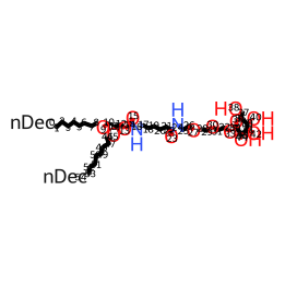 CCCCCCCCCCCCCCCCCCOC[C@@H](COC(=O)NCCCCCC(=O)NCCOCCOCCO[C@H]1OC(CO)[C@@H](O)C(O)[C@H]1O)OCCCCCCCCCCCCCCCCCC